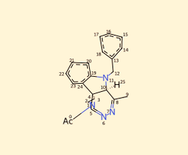 CC(=O)N1CC[C@@]23C1=NN=C(C)[C@@H]2N(Cc1ccccc1)c1ccccc13